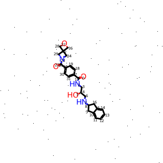 O=C(NCC(O)CNC1Cc2ccccc2C1)c1ccc(C(=O)N2CC3(COC3)C2)cc1